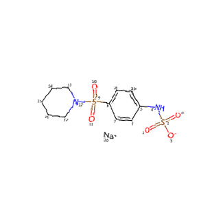 O=S(=O)([O-])Nc1ccc(S(=O)(=O)N2CCCCC2)cc1.[Na+]